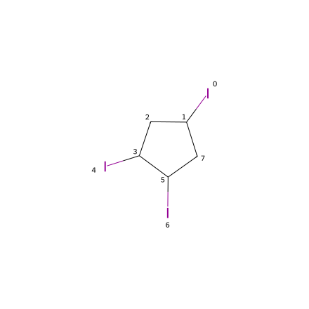 IC1CC(I)C(I)C1